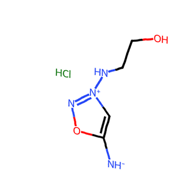 Cl.[NH-]c1c[n+](NCCO)no1